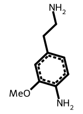 COc1cc(CCN)ccc1N